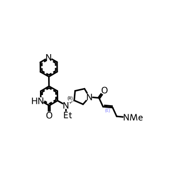 CCN(c1cc(-c2ccncc2)c[nH]c1=O)[C@@H]1CCN(C(=O)/C=C/CNC)C1